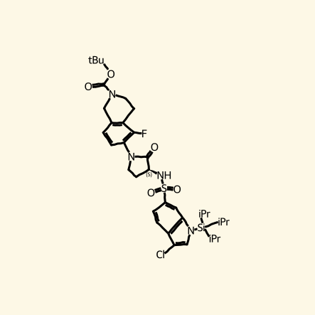 CC(C)[Si](C(C)C)(C(C)C)n1cc(Cl)c2ccc(S(=O)(=O)N[C@H]3CCN(c4ccc5c(c4F)CCN(C(=O)OC(C)(C)C)C5)C3=O)cc21